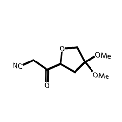 COC1(OC)COC(C(=O)CC#N)C1